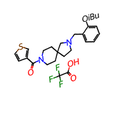 CC(C)COc1ccccc1CN1CCC2(CCN(C(=O)c3ccsc3)CC2)C1.O=C(O)C(F)(F)F